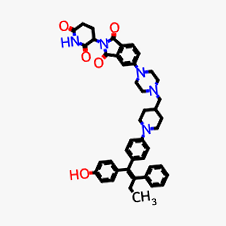 CCC(=C(c1ccc(O)cc1)c1ccc(N2CCC(CN3CCN(c4ccc5c(c4)C(=O)N(C4CCC(=O)NC4=O)C5=O)CC3)CC2)cc1)c1ccccc1